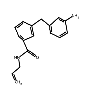 C=CCNC(=O)c1cc[c]c(Cc2cccc(N)c2)c1